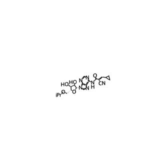 CC(C)OC[C@H]1O[C@@H](n2cnc3c(NC(=O)/C(C#N)=C/C4CC4)ncnc32)[C@H](O)[C@@H]1O